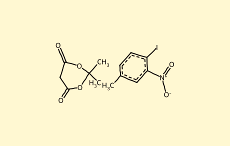 CC1(C)OC(=O)CC(=O)O1.Cc1ccc(I)c([N+](=O)[O-])c1